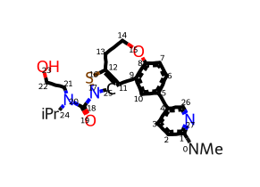 CNc1ccc(-c2ccc3c(c2)C2=C(CCO3)SN(C(=O)N(CCO)C(C)C)C2)cn1